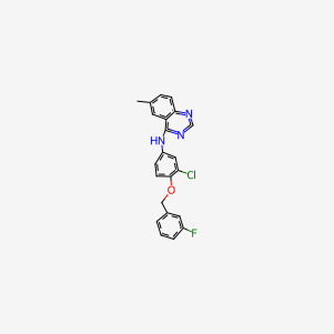 Cc1ccc2ncnc(Nc3ccc(OCc4cccc(F)c4)c(Cl)c3)c2c1